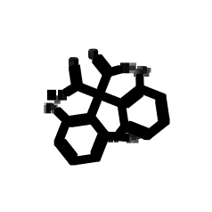 CC(C)c1cccc(C(C)C)c1C(C(N)=O)(C(N)=O)c1c(C(C)C)cccc1C(C)C